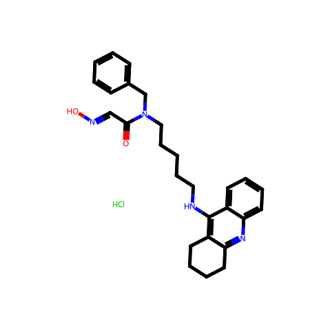 Cl.O=C(C=NO)N(CCCCCNc1c2c(nc3ccccc13)CCCC2)Cc1ccccc1